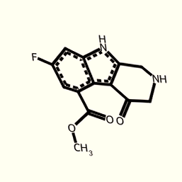 COC(=O)c1cc(F)cc2[nH]c3c(c12)C(=O)CNC3